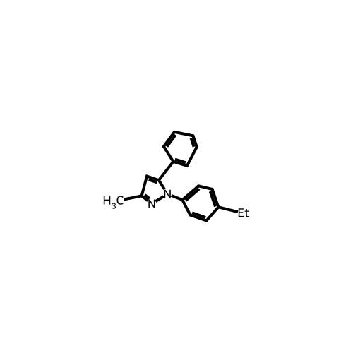 [CH2]Cc1ccc(-n2nc(C)cc2-c2ccccc2)cc1